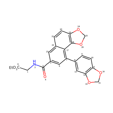 CCOC(=O)CNC(=O)c1cc(-c2ccc3c(c2)OCO3)c2c3c(ccc2c1)OCO3